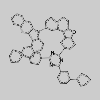 c1ccc(-c2ccc(-c3nc(-c4cccc(-c5ccccc5)c4)nc(-c4ccc5oc6ccc7ccc(-n8c9cc%10ccccc%10cc9c9c%10ccccc%10ccc98)cc7c6c5c4)n3)cc2)cc1